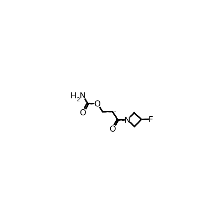 NC(=O)OC[CH]C(=O)N1CC(F)C1